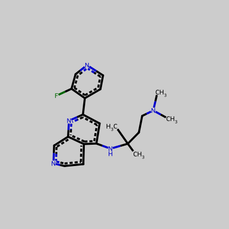 CN(C)CCC(C)(C)Nc1cc(-c2ccncc2F)nc2cnccc12